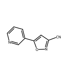 N#Cc1cc(-c2cccnc2)on1